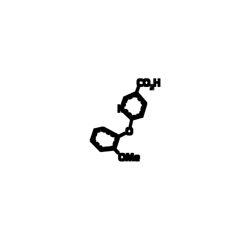 COc1ccccc1Oc1ccc(C(=O)O)cn1